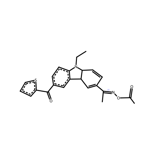 CCN1c2ccc(C(=O)c3cccs3)cc2C2C=C(/C(C)=N/OC(C)=O)C=CC21